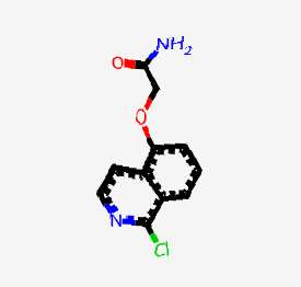 NC(=O)COc1cccc2c(Cl)nccc12